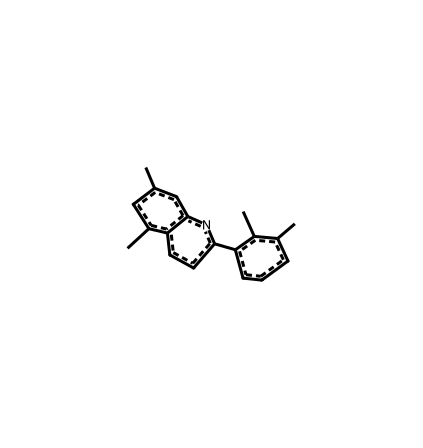 Cc1cc(C)c2ccc(-c3cccc(C)c3C)nc2c1